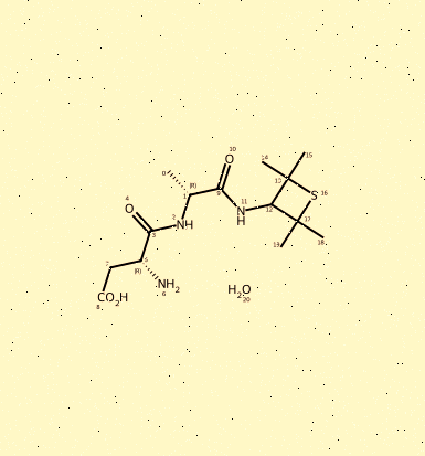 C[C@@H](NC(=O)[C@H](N)CC(=O)O)C(=O)NC1C(C)(C)SC1(C)C.O